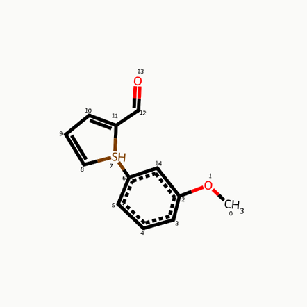 COc1cccc([SH]2C=CC=C2C=O)c1